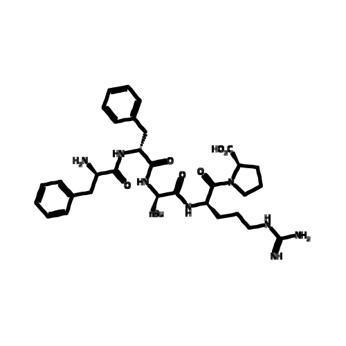 CCCC[C@@H](NC(=O)[C@@H](Cc1ccccc1)NC(=O)[C@H](N)Cc1ccccc1)C(=O)N[C@H](CCCNC(=N)N)C(=O)N1CCC[C@@H]1C(=O)O